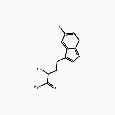 NC(=O)C(O)CCC1=CN=C2CC=C(F)C=C12